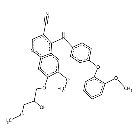 COCC(O)COc1cc2ncc(C#N)c(Nc3ccc(Oc4ccccc4OC)cc3)c2cc1OC